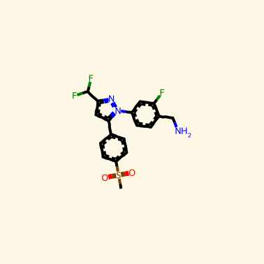 CS(=O)(=O)c1ccc(-c2cc(C(F)F)nn2-c2ccc(CN)c(F)c2)cc1